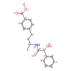 COC(=O)c1ccc(CCC(C)NC(=O)C(O)c2ccccc2)cc1